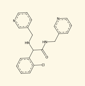 O=C(NCc1cccnc1)C(NCc1cccnc1)c1ccccc1Cl